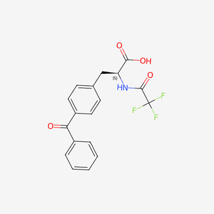 O=C(c1ccccc1)c1ccc(C[C@H](NC(=O)C(F)(F)F)C(=O)O)cc1